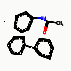 CC(=O)Nc1ccccc1.c1ccc(-c2ccccc2)cc1